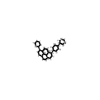 c1ccc(-c2ccc3ccc4ccc(-c5ccc(-c6cncnc6)cc5)c5ccc2c3c45)nc1